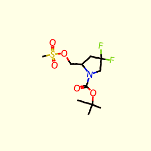 CC(C)(C)OC(=O)N1CC(F)(F)CC1COS(C)(=O)=O